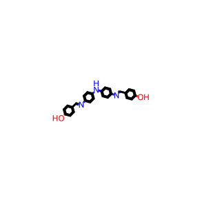 Oc1ccc(/C=N/c2ccc(Nc3ccc(/N=C/c4ccc(O)cc4)cc3)cc2)cc1